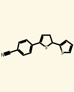 N#Cc1ccc(C2=CCC(c3cccs3)S2)cc1